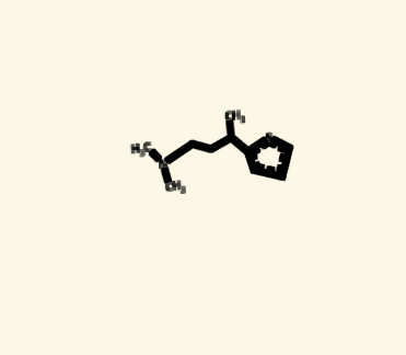 CC(CCN(C)C)c1cccs1